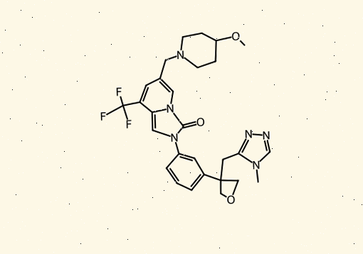 COC1CCN(Cc2cc(C(F)(F)F)c3cn(-c4cccc(C5(Cc6nncn6C)COC5)c4)c(=O)n3c2)CC1